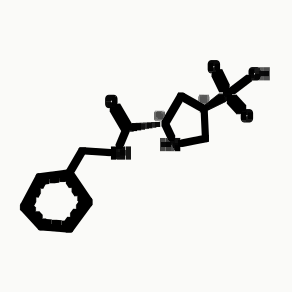 O=C(NCc1ccccc1)[C@@H]1C[C@@H](S(=O)(=O)O)CN1